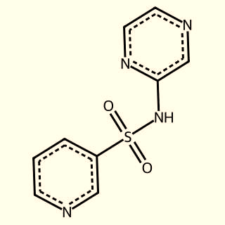 O=S(=O)(Nc1cnccn1)c1cccnc1